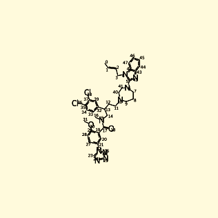 C/C=C/Cn1c(N2CCCN(CCC(CN(C)C(=O)c3cc(-n4cnnn4)ccc3OC)c3ccc(Cl)c(Cl)c3)CC2)nc2ccccc21